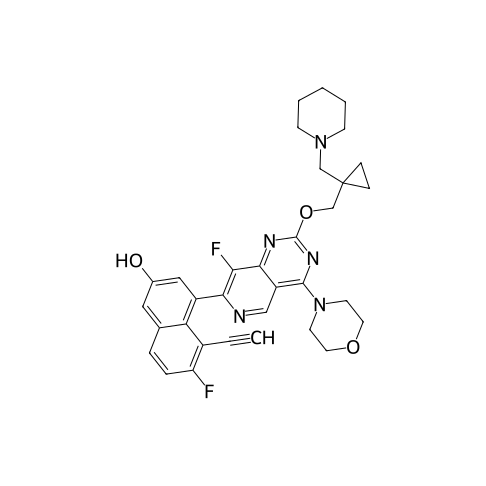 C#Cc1c(F)ccc2cc(O)cc(-c3ncc4c(N5CCOCC5)nc(OCC5(CN6CCCCC6)CC5)nc4c3F)c12